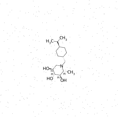 CC(C)[C@H]1CC[C@H](CN2C[C@H](O)[C@@H](O)[C@H](O)[C@H]2C)CC1